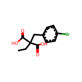 CCC(Cc1ccc(Br)cc1)(C(=O)O)C(=O)O